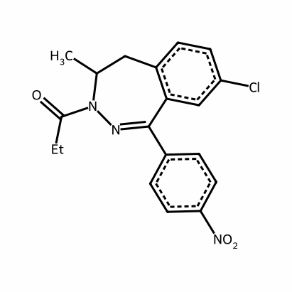 CCC(=O)N1N=C(c2ccc([N+](=O)[O-])cc2)c2cc(Cl)ccc2CC1C